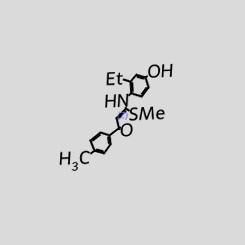 CCc1cc(O)ccc1N/C(=C/C(=O)c1ccc(C)cc1)SC